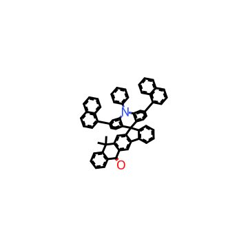 CC1(C)c2ccccc2C(=O)c2cc3c(cc21)C1(c2ccccc2-3)c2ccc(-c3cccc4ccccc34)cc2N(c2ccccc2)c2cc(-c3cccc4ccccc34)ccc21